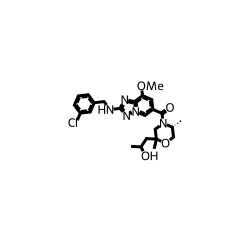 COc1cc(C(=O)N2CC(C)(CC(C)O)OC[C@H]2C)cn2nc(NCc3cccc(Cl)c3)nc12